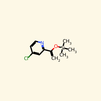 C=C(O[Si](C)(C)C)c1cc(Cl)ccn1